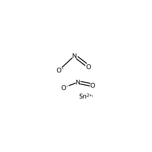 O=N[O-].O=N[O-].[Sn+2]